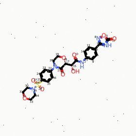 O=C(Nc1ccc(-c2noc(=O)[nH]2)cc1)[C@H](O)[C@H]1OCCN(c2ccc(S(=O)(=O)N3CCOCC3)cc2)C1=O